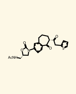 CC(=O)NC[C@H]1CN(c2ccc3c(c2)CCC[C@H](C(=O)Cc2cccs2)C3=O)C(=O)O1